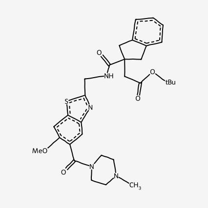 COc1cc2sc(CNC(=O)C3(CC(=O)OC(C)(C)C)Cc4ccccc4C3)nc2cc1C(=O)N1CCN(C)CC1